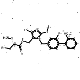 CCOc1nc(CC)c(CNC(=O)[C@@H](CS)CC(C)C)n1Cc1ccc(-c2ccccc2C(=O)O)c(F)c1